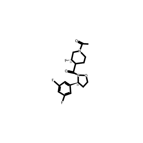 CC(=O)N1CCC(C(=O)N2OCC[C@H]2c2cc(F)cc(F)c2)[C@H](F)C1